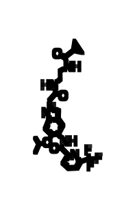 CC(C)Oc1cc2nn(CC(=O)NCCNC(=O)C3CC3)cc2cc1NC(=O)c1cccc(C(F)(F)F)n1